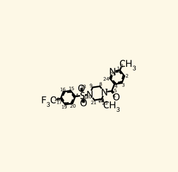 Cc1ccc(C(=O)N2CCN(S(=O)(=O)c3ccc(C(F)(F)F)cc3)C[C@@H]2C)cn1